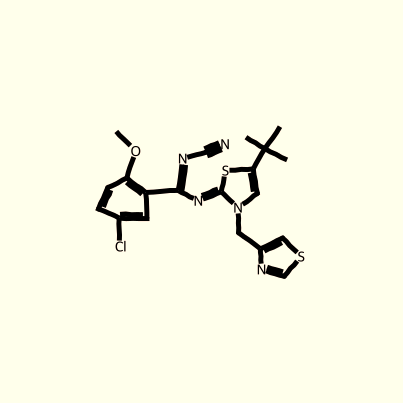 COc1ccc(Cl)cc1C(=NC#N)N=c1sc(C(C)(C)C)cn1Cc1cscn1